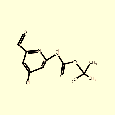 CC(C)(C)OC(=O)Nc1cc(Cl)cc(C=O)n1